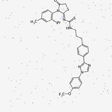 Cc1ccc(N2C(=O)CS/C2=N\C(=S)NCCCc2ccc(-c3ncn(-c4ccc(OC(F)(F)F)cc4)n3)cc2)c(C(C)C)c1